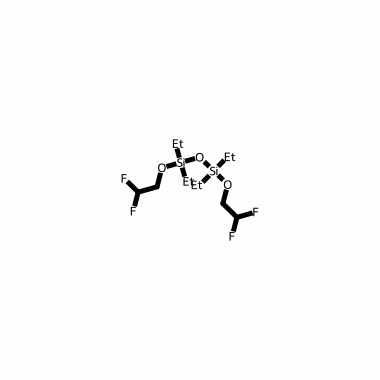 CC[Si](CC)(OCC(F)F)O[Si](CC)(CC)OCC(F)F